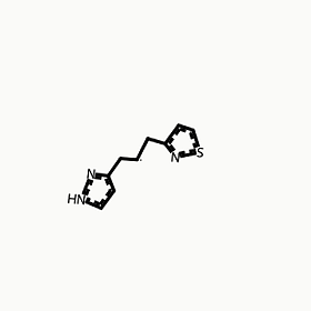 [CH](Cc1cc[nH]n1)Cc1ccsn1